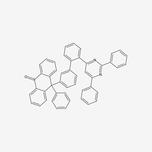 O=C1c2ccccc2C(c2ccccc2)(c2cccc(-c3ccccc3-c3cc(-c4ccccc4)nc(-c4ccccc4)n3)c2)c2ccccc21